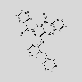 Oc1c(Pc2ccccc2CN2CCCCC2)cc(C(O)c2ccccc2)cc1C(O)c1ccccc1